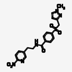 Cn1ccc(CS(=O)(=O)c2ccc(C(=O)NCCc3ccc([N+](=O)[O-])nc3)cc2)n1